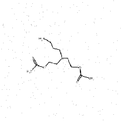 CC(=O)OCCN(CCCN)CCOC(C)=O